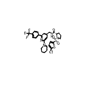 O=C(NCc1cc(-c2ccc(C(F)(F)F)cc2)nc(N2CCCCC2)c1)[C@@H]1CCCN1S(=O)(=O)c1ccc(Cl)s1